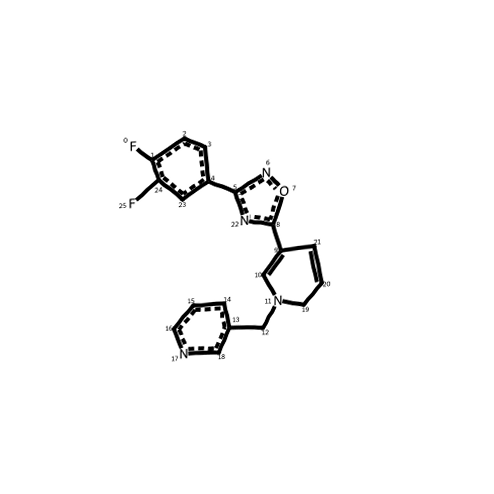 Fc1ccc(-c2noc(C3=CN(Cc4cccnc4)CC=C3)n2)cc1F